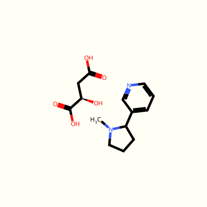 CN1CCCC1c1cccnc1.O=C(O)C[C@@H](O)C(=O)O